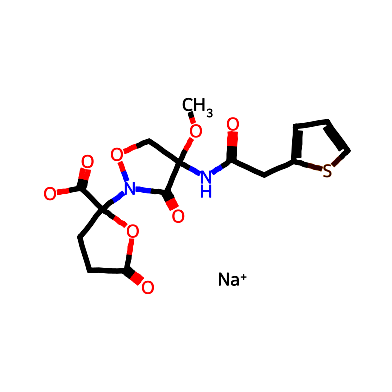 COC1(NC(=O)Cc2cccs2)CON(C2(C(=O)[O-])CCC(=O)O2)C1=O.[Na+]